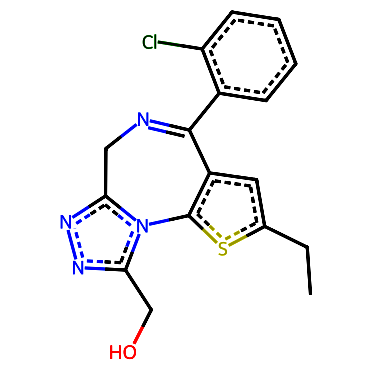 CCc1cc2c(s1)-n1c(CO)nnc1CN=C2c1ccccc1Cl